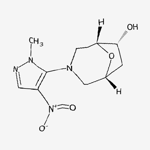 Cn1ncc([N+](=O)[O-])c1N1C[C@H]2C[C@@H](O)[C@@H](C1)O2